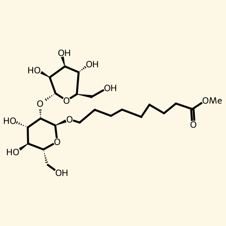 COC(=O)CCCCCCCCO[C@H]1O[C@H](CO)[C@@H](O)[C@H](O)[C@@H]1O[C@H]1O[C@H](CO)[C@@H](O)[C@H](O)[C@@H]1O